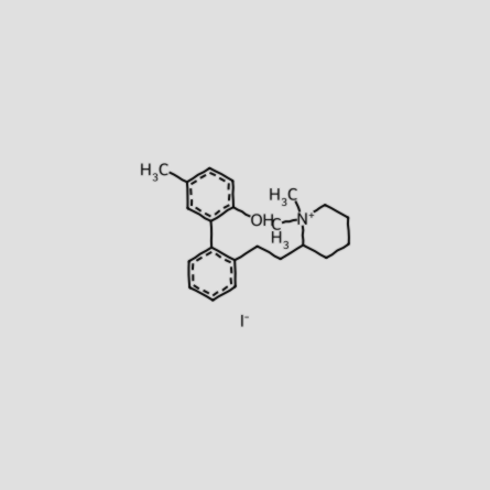 Cc1ccc(O)c(-c2ccccc2CCC2CCCC[N+]2(C)C)c1.[I-]